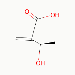 C=C(C(=O)O)[C@@H](C)O